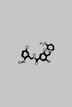 CCSc1ccc(Cl)cc1CNC(=O)c1cc(Br)c(CN2CCCC(N)C2)c(C(F)(F)F)c1